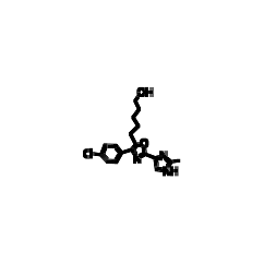 Cc1nc(-c2nc(-c3ccc(Cl)cc3)c(CCCCCO)o2)c[nH]1